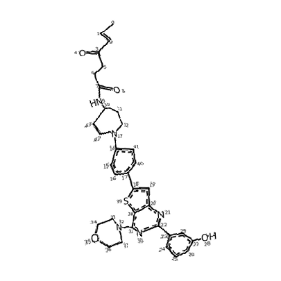 CC=CC(=O)CCC(=O)NC1CCN(c2ccc(-c3cc4nc(-c5cccc(O)c5)nc(N5CCOCC5)c4s3)cc2)CC1